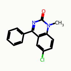 Cn1c(=O)nc(-c2ccccc2)c2cc(Cl)ccc21